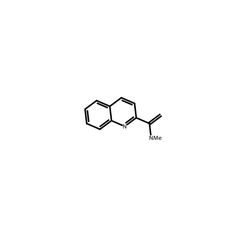 C=C(NC)c1ccc2ccccc2n1